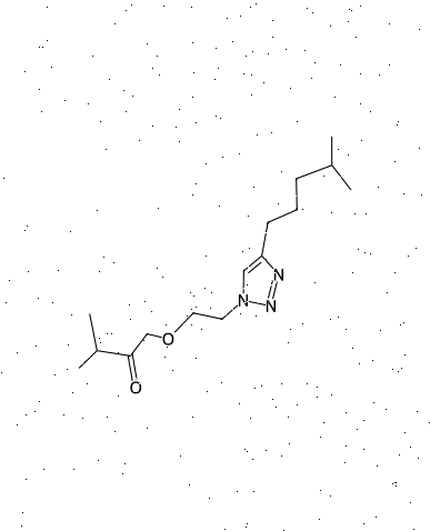 CC(C)CCCc1cn(CCOCC(=O)C(C)C)nn1